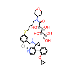 Cc1ccc(SCCCCN(C(=O)[C@@H](O)[C@@H](O)[C@H](O)[C@@H](O)CO)C2CCOCC2)cc1CNC1(c2cnccc2-c2ccccc2OC2CC2)CC1